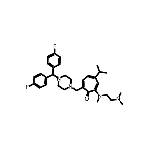 CC(C)c1ccc(CN2CCN(C(c3ccc(F)cc3)c3ccc(F)cc3)CC2)c(=O)c(N(C)CCN(C)C)c1